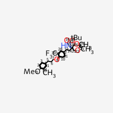 COc1ccc(CCCOc2ccc(CCC3(NC(=O)OC(C)(C)C)COC(C)(C)OC3)cc2C(F)(F)F)cc1C